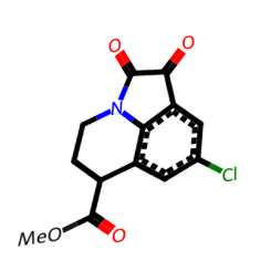 COC(=O)C1CCN2C(=O)C(=O)c3cc(Cl)cc1c32